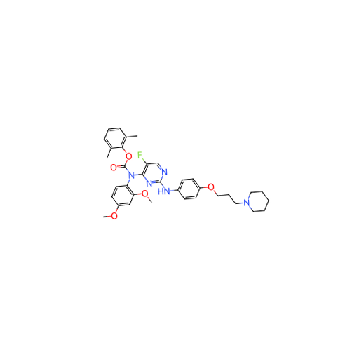 COc1ccc(N(C(=O)Oc2c(C)cccc2C)c2nc(Nc3ccc(OCCCN4CCCCC4)cc3)ncc2F)c(OC)c1